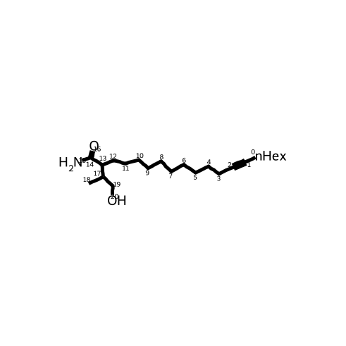 CCCCCCC#CCCCCCCCCCCC(C(N)=O)C(C)CO